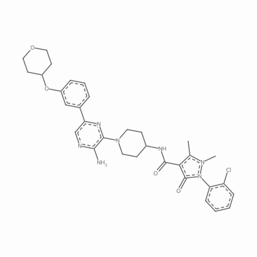 Cc1c(C(=O)NC2CCN(c3nc(-c4cccc(OC5CCOCC5)c4)cnc3N)CC2)c(=O)n(-c2ccccc2Cl)n1C